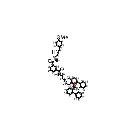 COc1ccc(CNCCNC(=O)c2cccc(C(=O)NCCN3CCC(OC(=O)N(c4ccccc4-c4ccccc4)c4ccccc4-c4ccccc4)CC3)c2)cc1